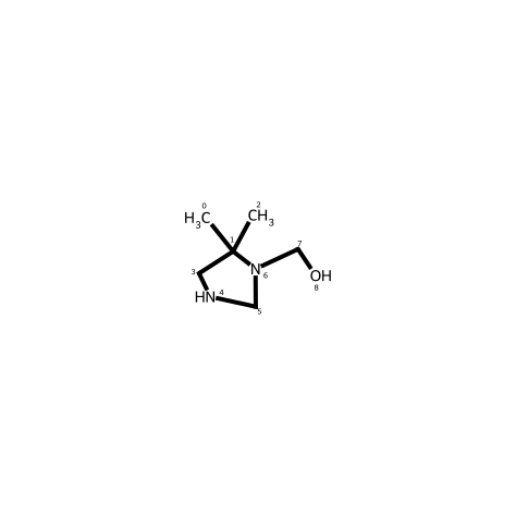 CC1(C)CNCN1CO